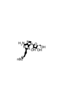 CCCCOCC#Cc1nc(N)c2ncn([C@@H]3O[C@H](CO)[C@@H](O)[C@H]3O)c2n1